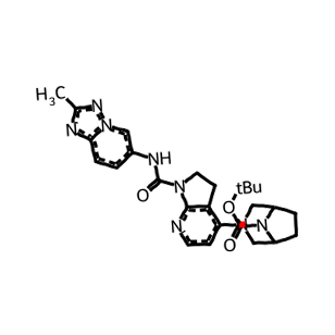 Cc1nc2ccc(NC(=O)N3CCc4c(N5CC6CCC(C5)N6C(=O)OC(C)(C)C)ccnc43)cn2n1